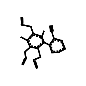 C#Cc1ccccc1-c1c(C)c(CC=C)c(C)c(CC=C)c1CC=C